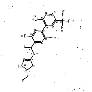 CC[C@H]1CC(NC(C)c2cc(F)c(-c3cc(C(F)(F)F)ncc3O)cc2F)=CN1